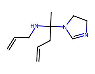 C=CCNC(C)(CC=C)N1C=NCC1